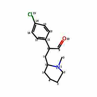 CN1CCCCC1CC(C=O)c1ccc(Cl)cc1